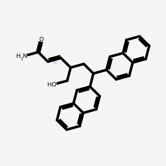 NC(=O)/C=C/C(CO)CC(c1ccc2ccccc2c1)c1ccc2ccccc2c1